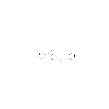 Cn1nc(-c2cc(C(F)(F)F)c(F)c(O)c2F)c2cnc(N3CCOC(c4ccccc4)C3)nc21